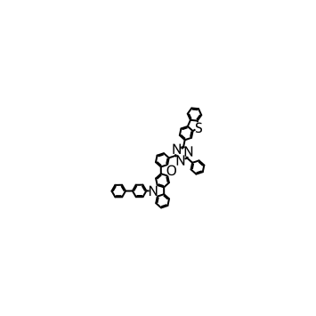 c1ccc(-c2ccc(-n3c4ccccc4c4cc5oc6c(-c7nc(-c8ccccc8)nc(-c8ccc9c(c8)sc8ccccc89)n7)cccc6c5cc43)cc2)cc1